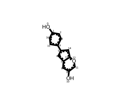 Oc1ccc(-c2cc3cc(O)coc-3c2)cc1